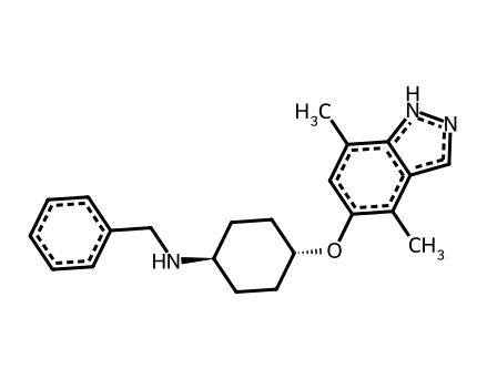 Cc1c(O[C@H]2CC[C@H](NCc3ccccc3)CC2)cc(C)c2[nH]ncc12